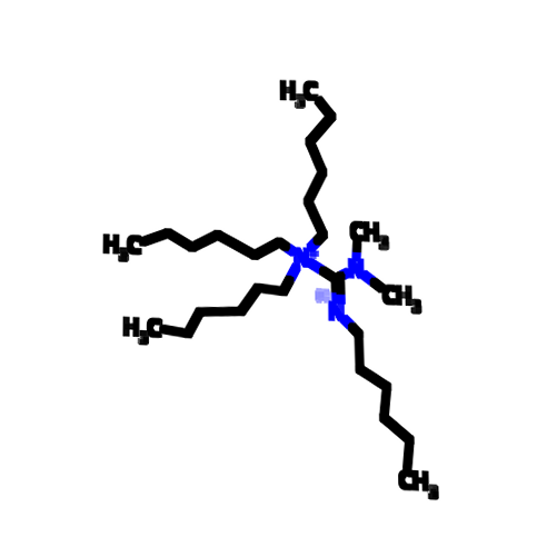 CCCCCC/N=C(\N(C)C)[N+](CCCCCC)(CCCCCC)CCCCCC